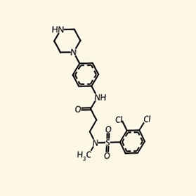 CN(CCC(=O)Nc1ccc(N2CCNCC2)cc1)S(=O)(=O)c1cccc(Cl)c1Cl